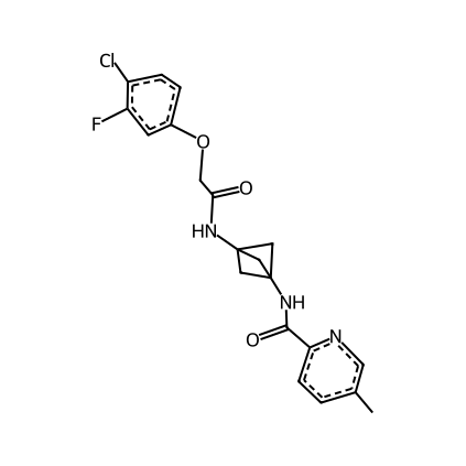 Cc1ccc(C(=O)NC23CC(NC(=O)COc4ccc(Cl)c(F)c4)(C2)C3)nc1